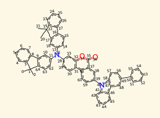 CC1(C)c2ccccc2-c2cc(N(c3ccc4c(c3)C(C)(C)c3ccccc3-4)c3ccc4c(c3)oc(=O)c3cc(-n5c6ccccc6c6cc(-c7ccccc7)ccc65)ccc34)ccc21